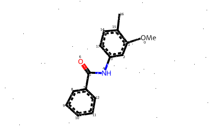 COc1cc(NC(=O)c2ccccc2)ccc1C